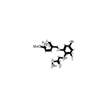 C=C(/C=C\C(=C/C)COc1cc(Br)cc(F)c1NCC(=O)OC(C)(C)C)OC